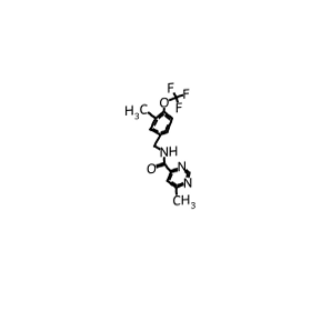 Cc1cc(C(=O)NCc2ccc(OC(F)(F)F)c(C)c2)ncn1